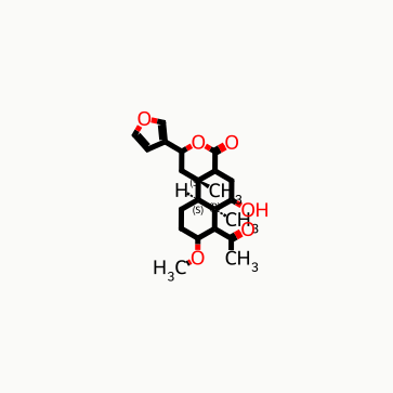 COC1CC[C@@H]2[C@@](C)(C(O)CC3C(=O)OC(c4ccoc4)C[C@]32C)C1C(C)=O